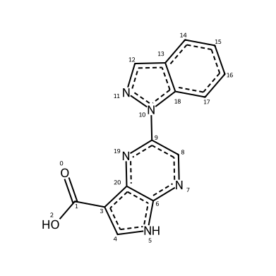 O=C(O)c1c[nH]c2ncc(-n3ncc4ccccc43)nc12